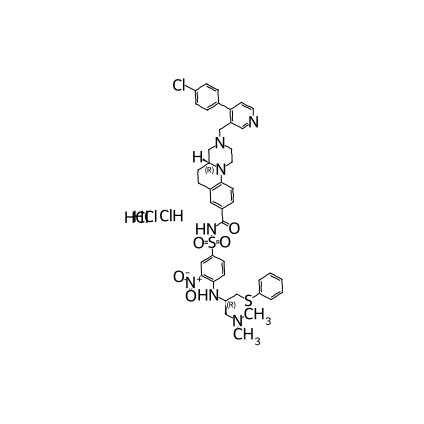 CN(C)C[C@H](CSc1ccccc1)Nc1ccc(S(=O)(=O)NC(=O)c2ccc3c(c2)CC[C@@H]2CN(Cc4cnccc4-c4ccc(Cl)cc4)CCN32)cc1[N+](=O)[O-].Cl.Cl.Cl